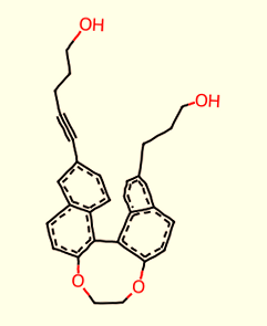 OCCCC#Cc1ccc2c3c(ccc2c1)OCCOc1ccc2cc(CCCO)ccc2c1-3